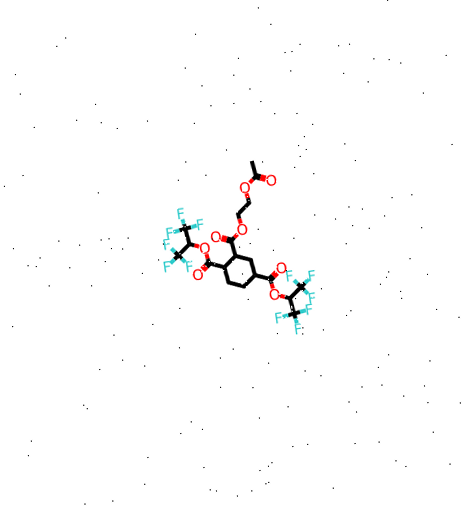 CC(=O)OCCOC(=O)C1CC(C(=O)OC(C(F)(F)F)C(F)(F)F)CCC1C(=O)OC(C(F)(F)F)C(F)(F)F